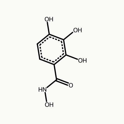 O=C(NO)c1ccc(O)c(O)c1O